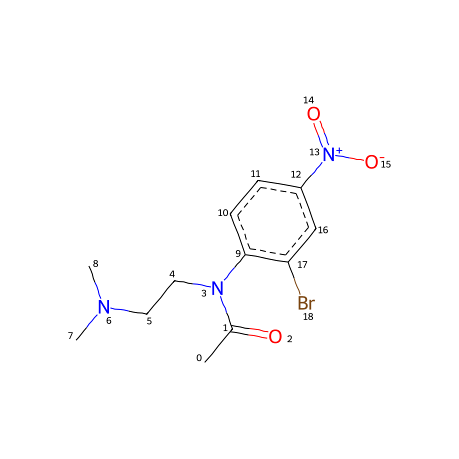 CC(=O)N(CCN(C)C)c1ccc([N+](=O)[O-])cc1Br